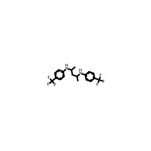 CC(CC(C)Nc1ccc(C(F)(F)F)cc1)Nc1ccc(C(F)(F)F)cc1